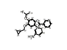 NC1=C[N+](C(=O)c2cccnc2)(c2ccc(OC(F)F)c(OCC3CC3)c2)CC=C1